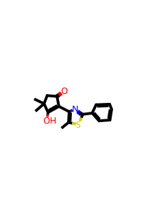 Cc1sc(-c2ccccc2)nc1C1=C(O)C(C)(C)CC1=O